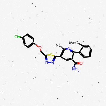 COc1ccccc1-c1nc(C#N)c(-c2nnc(COc3ccc(Cl)cc3)s2)cc1C(N)=O